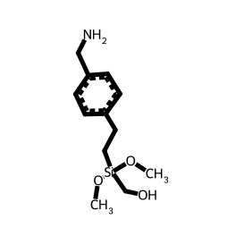 CO[Si](CO)(CCc1ccc(CN)cc1)OC